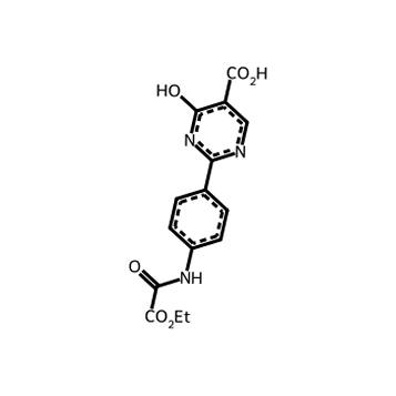 CCOC(=O)C(=O)Nc1ccc(-c2ncc(C(=O)O)c(O)n2)cc1